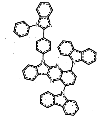 c1ccc(-n2c(-c3ccc(-n4c5ccccc5c5nc6c(-n7c8ccccc8c8ccccc87)ccc(-n7c8ccccc8c8ccccc87)c6nc54)cc3)nc3ccccc32)cc1